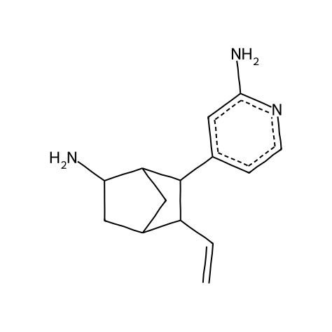 C=CC1C2CC(N)C(C2)C1c1ccnc(N)c1